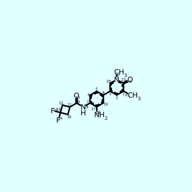 Cc1cc(-c2ccc(NC(=O)C3CC(F)(F)C3)c(N)c2)cn(C)c1=O